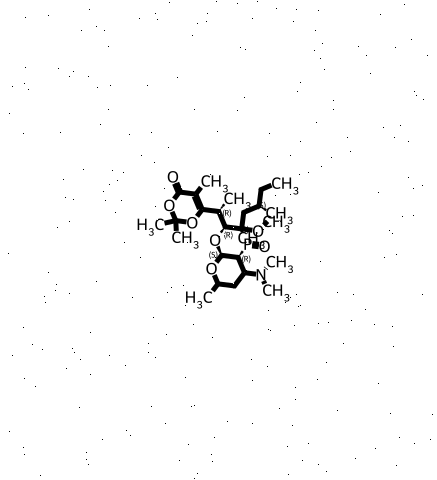 CC[C@H](C)C[C@@](C)(OC)[C@H](O[C@@H]1OC(C)CC(N(C)C)[C@H]1P=O)[C@@H](C)C1=C(C)C(=O)OC(C)(C)O1